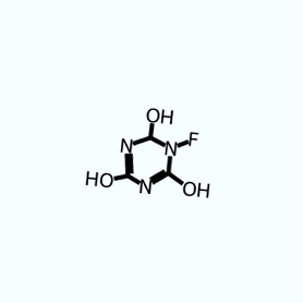 OC1=NC(O)N(F)C(O)=N1